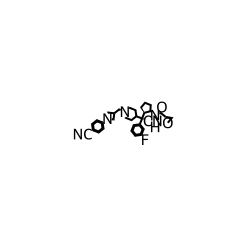 N#Cc1ccc(N2CC(CN3CCC([C@@](C#N)(c4cccc(F)c4)[C@H]4CCC[C@@H]4NC(=O)C4CO4)CC3)C2)cc1